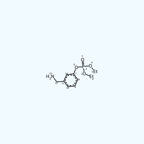 CCOP(=O)(OCC)Oc1cccc(CN)c1